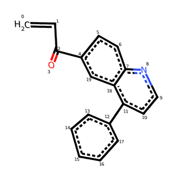 C=CC(=O)c1ccc2nccc(-c3ccccc3)c2c1